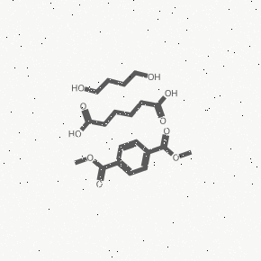 COC(=O)c1ccc(C(=O)OC)cc1.O=C(O)CCCCC(=O)O.OCCCCO